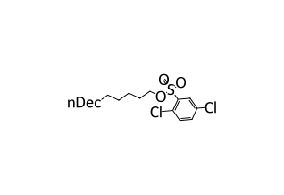 CCCCCCCCCCCCCCCOS(=O)(=O)c1cc(Cl)ccc1Cl